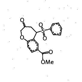 COC(=O)c1ccc2c(c1)C(S(=O)(=O)c1ccccc1)CC(=O)CO2